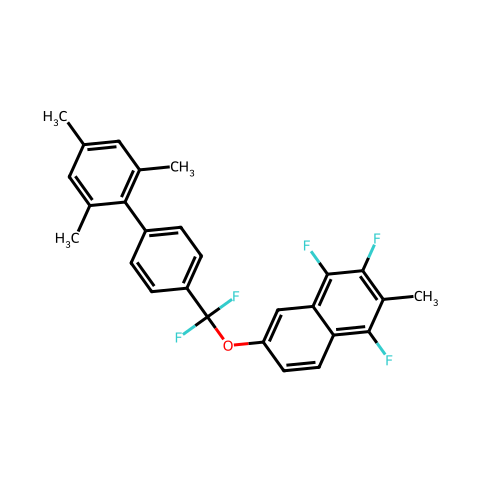 Cc1cc(C)c(-c2ccc(C(F)(F)Oc3ccc4c(F)c(C)c(F)c(F)c4c3)cc2)c(C)c1